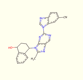 Cc1nc2cnc(-n3cnc4ccc(C#N)cc43)nc2n1C1CCC(O)c2ccccc21